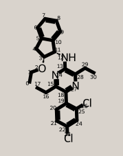 CCO[C@@H]1Cc2ccccc2[C@@H]1Nc1nc(CC)c(-c2ccc(Cl)cc2Cl)nc1CC